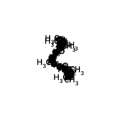 Cn1c2ccc(-c3ccc(-c4cc5cc6c7c(c5oc4=O)C(C)(C)CCN7CCC6(C)C)cc3)cc2c2cc(-c3ccc(-c4cc5cc6c7c(c5oc4=O)C(C)(C)CCN7CCC6(C)C)cc3)ccc21